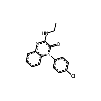 CCNc1nc2ccccc2n(-c2ccc(Cl)cc2)c1=O